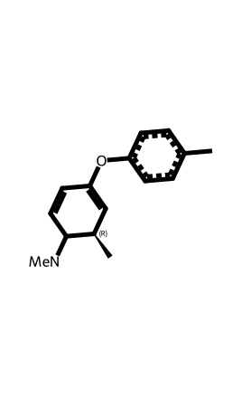 CNC1C=CC(Oc2ccc(C)cc2)=C[C@H]1C